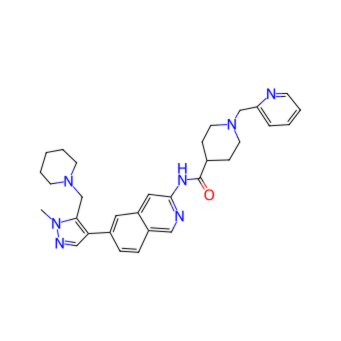 Cn1ncc(-c2ccc3cnc(NC(=O)C4CCN(Cc5ccccn5)CC4)cc3c2)c1CN1CCCCC1